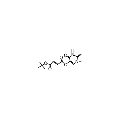 C=C1NC=C(OC(=O)/C=C/C(=O)OC(C)(C)C)C(=O)N1